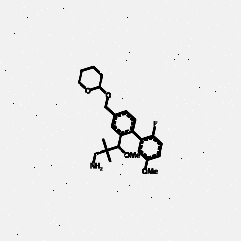 COc1ccc(F)c(-c2ccc(COC3CCCCO3)cc2C(OC)C(C)(C)CN)c1